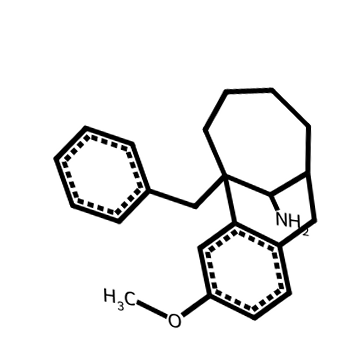 COc1ccc2c(c1)C1(Cc3ccccc3)CCCCC(C2)C1N